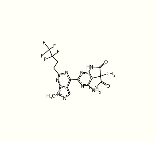 Cn1ncc2c(-c3nc(N)c4c(n3)NC(=O)C4(C)C(N)=O)nc(CCC(F)(F)C(F)(F)F)nc21